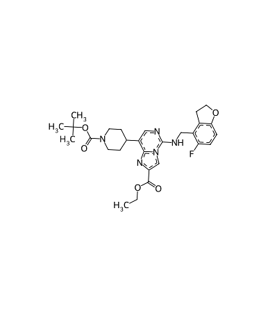 CCOC(=O)c1cn2c(NCc3c(F)ccc4c3CCO4)ncc(C3CCN(C(=O)OC(C)(C)C)CC3)c2n1